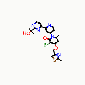 Cc1nc(COc2cc(C)n(-c3ccnc(-c4ccnc(C(C)(C)O)n4)c3)c(=O)c2Br)cs1